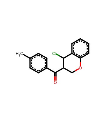 Cc1ccc(C(=O)C2COc3ccccc3C2Cl)cc1